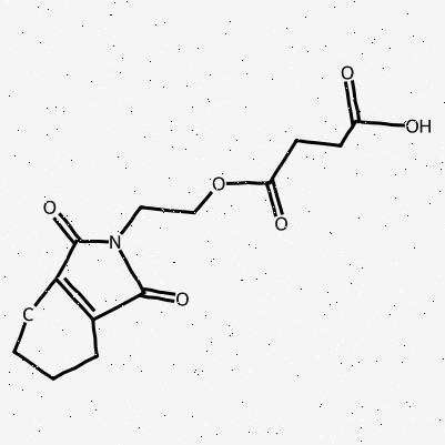 O=C(O)CCC(=O)OCCN1C(=O)C2=C(CCCC2)C1=O